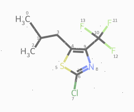 CC(C)Cc1sc(Cl)nc1C(F)(F)F